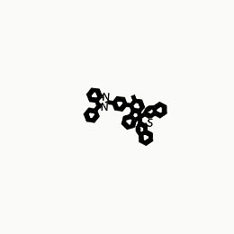 CC1C=CC2=C(c3ccccc3C23c2ccc4ccccc4c2Sc2c3ccc3ccccc23)C1c1ccc(-c2nc(-c3ccccc3)c3ccccc3n2)cc1